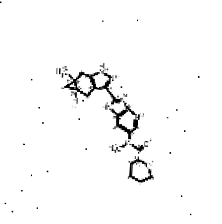 CN(C(=O)[C@H]1CCCCO1)c1cnc2nc(-c3n[nH]c4c3C[C@@H]3C[C@]3(C)C4)[nH]c2c1